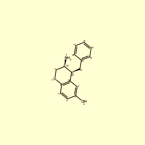 N[C@@H]1COc2ccc(O)cc2[C@@H]1Cc1ccccc1